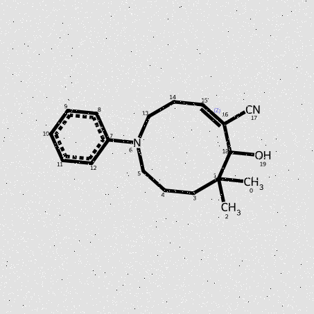 CC1(C)CCCN(c2ccccc2)CC/C=C(/C#N)C1O